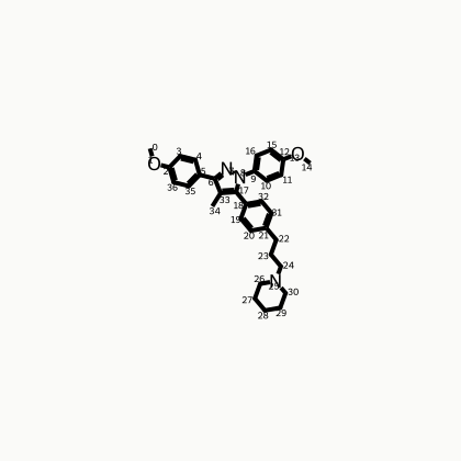 COc1ccc(-c2nn(-c3ccc(OC)cc3)c(-c3ccc(CCCN4CCCCC4)cc3)c2C)cc1